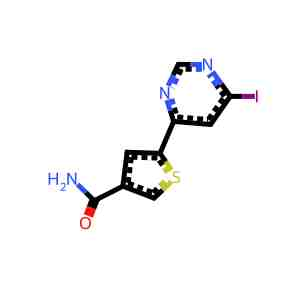 NC(=O)c1csc(-c2cc(I)ncn2)c1